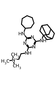 C[N+](C)(C)CCNc1nc(NC2CCCCCC2)nc(NC23CC4CC(CC(C4)C2)C3)n1